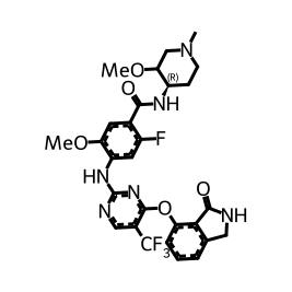 COc1cc(C(=O)N[C@@H]2CCN(C)CC2OC)c(F)cc1Nc1ncc(C(F)(F)F)c(Oc2cccc3c2C(=O)NC3)n1